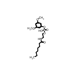 CCCCCCCC(=O)NCCOP(=O)(O)Oc1cc(OC)cc(OC)c1